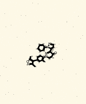 Cc1cc(-c2c(C)noc2C)ccc1-n1ccc(=O)c(-c2ccnn2-c2ccccc2)n1